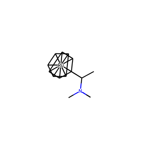 CC(N(C)C)[C]12[CH]3[CH]4[CH]5[CH]1[Ru]45321678[CH]2[CH]1[CH]6[CH]7[CH]28